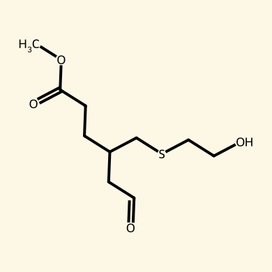 COC(=O)CCC(CC=O)CSCCO